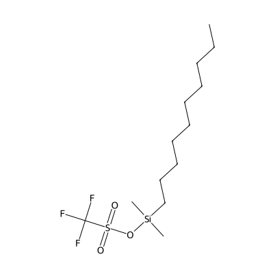 CCCCCCCCCC[Si](C)(C)OS(=O)(=O)C(F)(F)F